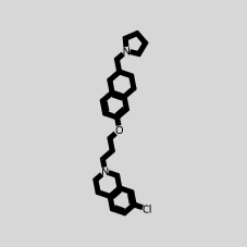 Clc1ccc2c(c1)CN(CCCOc1ccc3c(c1)CCC(CN1CCCC1)C3)CC2